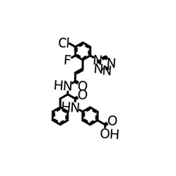 O=C(C=Cc1c(-n2cnnn2)ccc(Cl)c1F)NC(Cc1ccccc1)C(=O)Nc1ccc(C(=O)O)cc1